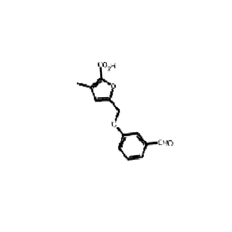 Cc1cc(COc2cccc(C=O)c2)oc1C(=O)O